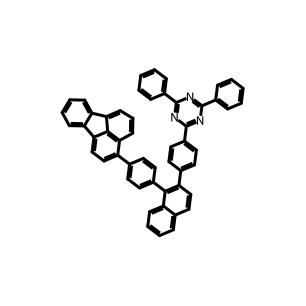 c1ccc(-c2nc(-c3ccccc3)nc(-c3ccc(-c4ccc5ccccc5c4-c4ccc(-c5ccc6c7c(cccc57)-c5ccccc5-6)cc4)cc3)n2)cc1